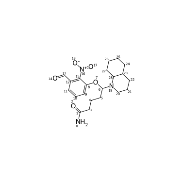 NC(=O)CCCC(Oc1cccc(C=O)c1[N+](=O)[O-])N1CCCC2CCCCC21